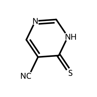 N#Cc1cnc[nH]c1=S